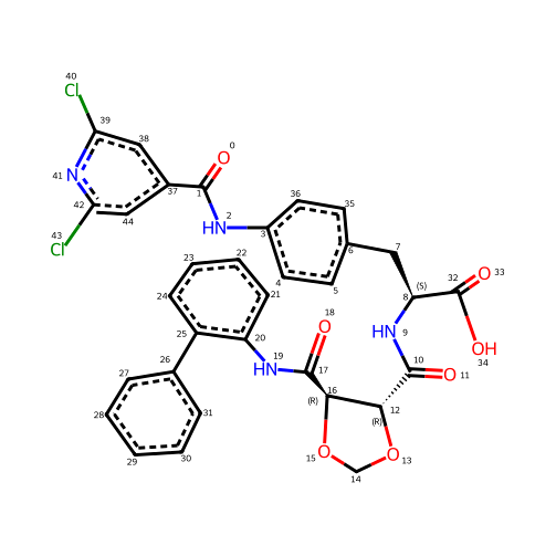 O=C(Nc1ccc(C[C@H](NC(=O)[C@@H]2OCO[C@H]2C(=O)Nc2ccccc2-c2ccccc2)C(=O)O)cc1)c1cc(Cl)nc(Cl)c1